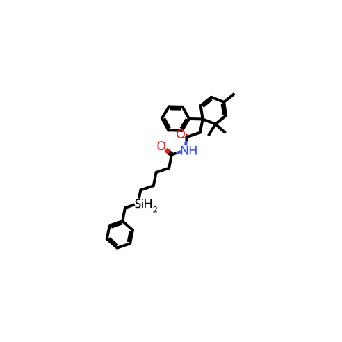 CC1=CC(C)(C)C(CC(=O)NC(=O)CCCC[SiH2]Cc2ccccc2)(c2ccccc2)C=C1